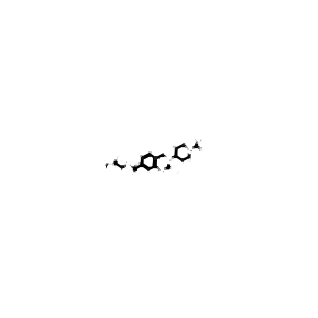 COC(=O)CNC(=O)c1ccc2c(c1)NC(=O)N(C1CCN(C(C)C)CC1)C2